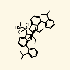 CCC(C)C1=Cc2c(-c3ccccc3C(C)C)cccc2[CH]1[Zr]([Cl])([Cl])([CH]1C(C(C)CC)=Cc2c(-c3ccccc3C(C)C)cccc21)[SiH](C)C